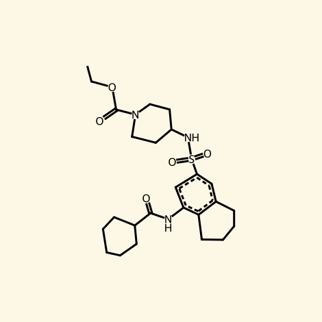 CCOC(=O)N1CCC(NS(=O)(=O)c2cc3c(c(NC(=O)C4CCCCC4)c2)CCCC3)CC1